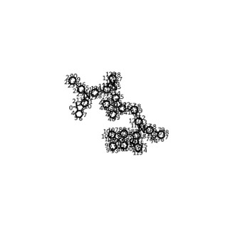 CC1(C)c2ccccc2-c2ccc(N(c3ccc(-c4ccccc4)cc3)c3ccc(-c4cc(-c5ccc6c(c5)C5(c7ccccc7-c7ccccc75)c5ccc(-c7cccc(-c8ccc(N(c9ccc%10c(c9)C(C)(C)c9ccccc9-%10)c9cc(-c%10ccc%11c(c%10)C(c%10ccccc%10)(c%10ccccc%10)c%10ccccc%10-%11)c%10sc%11ccccc%11c%10c9)cc8)c7)cc5-6)c5sc6ccccc6c5c4)cc3)cc21